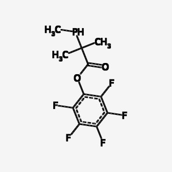 CPC(C)(C)C(=O)Oc1c(F)c(F)c(F)c(F)c1F